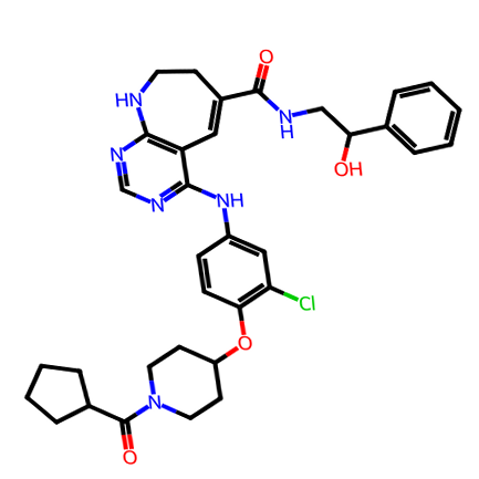 O=C(NCC(O)c1ccccc1)C1=Cc2c(ncnc2Nc2ccc(OC3CCN(C(=O)C4CCCC4)CC3)c(Cl)c2)NCC1